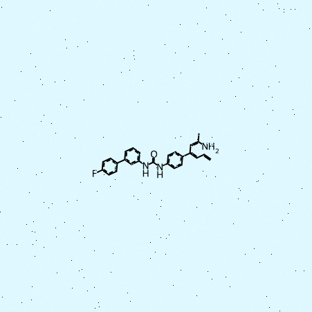 C=C/C=C(\C=C(\C)N)c1ccc(NC(=O)Nc2cccc(-c3ccc(F)cc3)c2)cc1